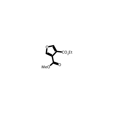 CCOC(=O)c1cocc1C(=O)OC